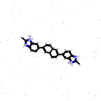 Cc1nc2ccc(C3=CC4C=CC(c5ccc6nc(C)[nH]c6c5)=CC4C=C3)cc2[nH]1